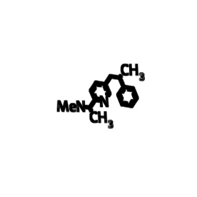 CNC(C)c1ccc(CC(C)c2ccccc2)cn1